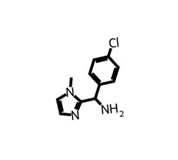 Cn1ccnc1C(N)c1ccc(Cl)cc1